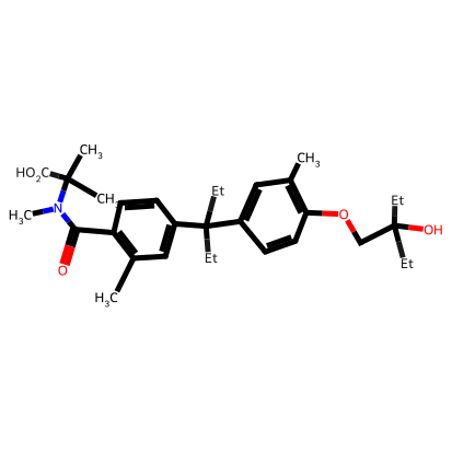 CCC(O)(CC)COc1ccc(C(CC)(CC)c2ccc(C(=O)N(C)C(C)(C)C(=O)O)c(C)c2)cc1C